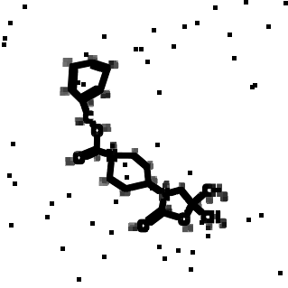 CC1(C)CN(C2CCN(C(=O)OCc3ccccc3)CC2)C(=O)O1